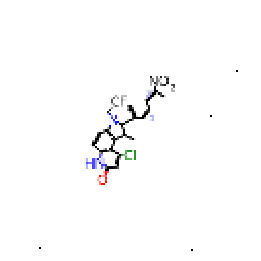 C=C(/C=C\C=C(/C)[N+](=O)[O-])C1C(C)c2c(ccc3[nH]c(=O)cc(Cl)c23)N1CC(F)(F)F